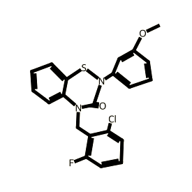 COc1cccc(N2Sc3ccccc3N(Cc3c(F)cccc3Cl)C2=O)c1